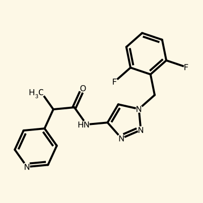 CC(C(=O)Nc1cn(Cc2c(F)cccc2F)nn1)c1ccncc1